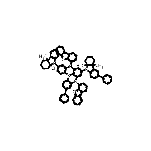 CC12CCCCC1(C)N(c1ccc3c(c1)N(c1cccc4c1oc1ccccc14)c1cc(N4c5ccc(-c6ccccc6)cc5C5(C)CCCCC45C)cc4c1B3c1ccc(-c3ccccc3)cc1N4c1cccc3c1oc1ccccc13)c1ccccc12